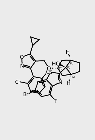 O[C@@]1(c2nc3c(F)cc(Br)cc3s2)[C@@H]2CC[C@H]1C[C@H](OCc1c(-c3c(Cl)cccc3Cl)noc1C1CC1)C2